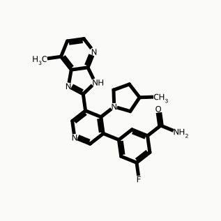 Cc1ccnc2[nH]c(-c3cncc(-c4cc(F)cc(C(N)=O)c4)c3N3CCC(C)C3)nc12